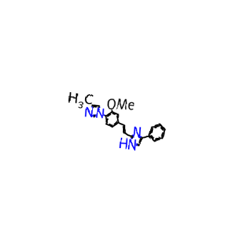 COc1cc(C=Cc2nc(-c3ccccc3)c[nH]2)ccc1-n1cnc(C)c1